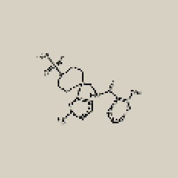 COc1ccccc1C(=O)NCC1(c2cccc(C(F)(F)F)c2)CCN(S(N)(=O)=O)CC1